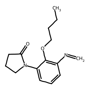 C=Nc1cccc(N2CCCC2=O)c1OCCCC